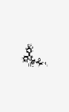 C=C(F)C(=O)NCC(CO)n1nc(-c2ccc(C(F)(F)F)cc2)c2cccnc21